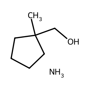 CC1(CO)CCCC1.N